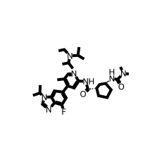 CCN(C(C)C)C(C)C.Cc1cnc(NC(=O)[C@H]2CCC[C@@H](NC(=O)N(C)C)C2)cc1-c1cc(F)c2ncn(C(C)C)c2c1